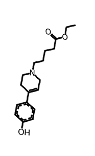 CCOC(=O)CCCCN1CC=C(c2ccc(O)cc2)CC1